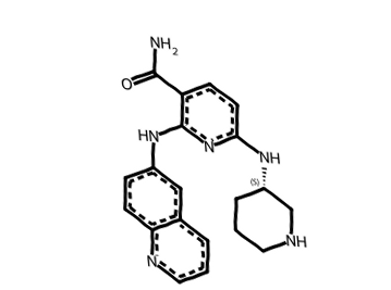 NC(=O)c1ccc(N[C@H]2CCCNC2)nc1Nc1ccc2ncccc2c1